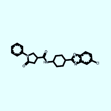 O=C(NC1CCC(c2nc3cc(Cl)ccc3o2)CC1)C1CC(=O)N(c2ccccc2)C1